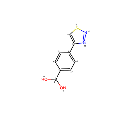 OB(O)c1ccc(-c2csnn2)cc1